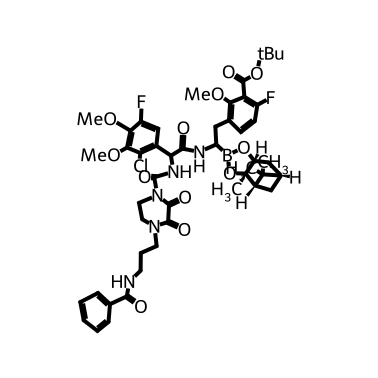 COc1c(F)cc(C(NC(=O)N2CCN(CCCNC(=O)c3ccccc3)C(=O)C2=O)C(=O)NC(Cc2ccc(F)c(C(=O)OC(C)(C)C)c2OC)B2O[C@@H]3C[C@@H]4C[C@@H](C4(C)C)[C@]3(C)O2)c(Cl)c1OC